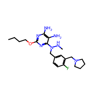 CCCCOc1nc(N)c(N)c(N(Cc2ccc(F)c(CN3CCCC3)c2)NC)n1